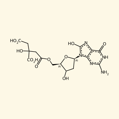 Nc1nc2c(nc(O)n2[C@H]2CC(O)[C@@H](COC(=O)CC(O)(CC(=O)O)C(=O)O)O2)c(=O)[nH]1